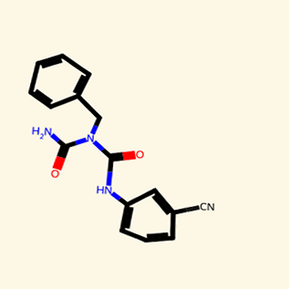 N#Cc1cccc(NC(=O)N(Cc2ccccc2)C(N)=O)c1